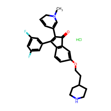 CN1C=C(C2=C(c3cc(F)cc(F)c3)c3ccc(OCCC4CCNCC4)cc3C2=O)C=CC1.Cl